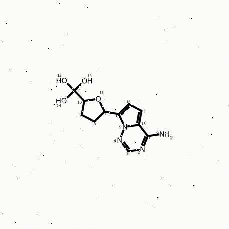 Nc1ncnn2c(C3CCC(C(O)(O)O)O3)ccc12